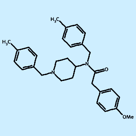 COc1ccc(CC(=O)N(Cc2ccc(C)cc2)C2CCN(Cc3ccc(C)cc3)CC2)cc1